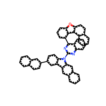 c1ccc2cc(-c3ccc4c(c3)c3cc5ccccc5cc3n4-c3nc(-c4cccc5oc6ccc7ccccc7c6c45)c4ccccc4n3)ccc2c1